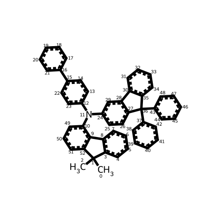 CC1(C)c2ccccc2-c2c(N(c3ccc(-c4ccccc4)cc3)c3ccc4c(c3)-c3ccccc3C4(c3ccccc3)c3ccccc3)cccc21